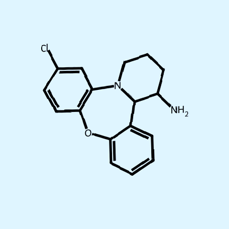 NC1CCCN2c3cc(Cl)ccc3Oc3ccccc3C12